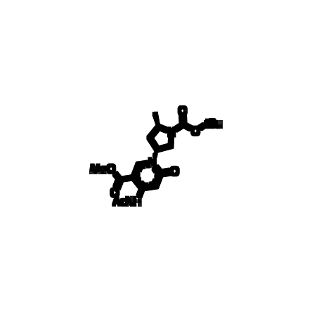 COC(=O)c1cn([C@@H]2C[C@@H](C)N(C(=O)OC(C)(C)C)C2)c(=O)cc1NC(C)=O